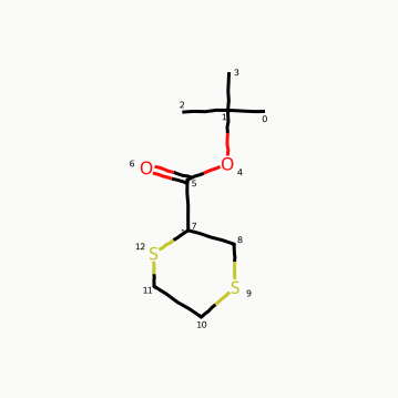 CC(C)(C)OC(=O)[C]1CSCCS1